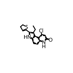 CCc1c(C2=CCCS2)[nH]c2ccc3[nH]c(=O)cc(Cl)c3c12